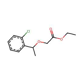 CCOC(=O)COC(C)c1ccccc1Cl